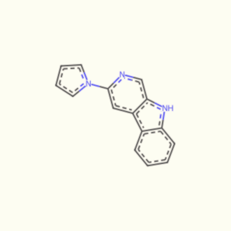 c1ccc2c(c1)[nH]c1cnc(-n3cccc3)cc12